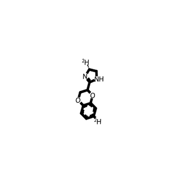 [2H]c1ccc2c(c1)OC(C1=N[C@H]([2H])CN1)CO2